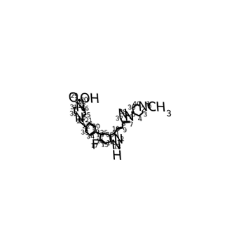 CCN1CCC(n2cc(C=Cc3n[nH]c4cc(F)c(-c5ccc(CN6CCN(C(=O)O)CC6)cc5)cc34)cn2)CC1